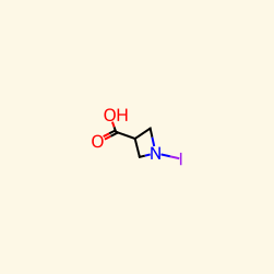 O=C(O)C1CN(I)C1